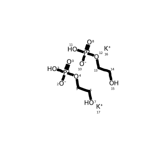 O=P([O-])(O)OCCO.O=P([O-])(O)OCCO.[K+].[K+]